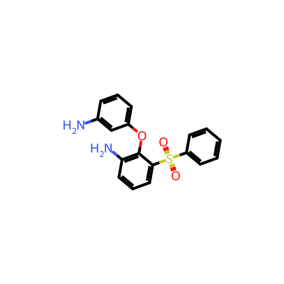 Nc1cccc(Oc2c(N)cccc2S(=O)(=O)c2ccccc2)c1